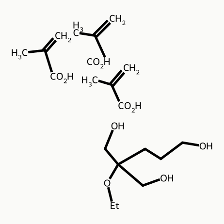 C=C(C)C(=O)O.C=C(C)C(=O)O.C=C(C)C(=O)O.CCOC(CO)(CO)CCCO